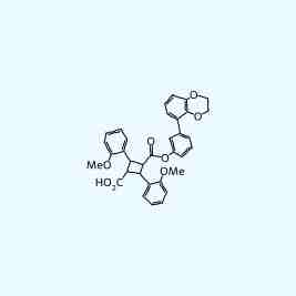 COc1ccccc1C1C(C(=O)O)C(c2ccccc2OC)C1C(=O)Oc1cccc(-c2cccc3c2OCCO3)c1